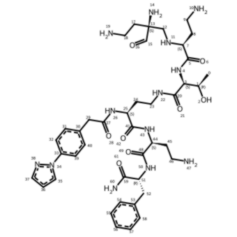 C[C@@H](O)[C@H](NC(=O)[C@H](CCN)NC[C@](N)(C=O)CCN)C(=O)NCC[C@H](NC(=O)Cc1ccc(-n2cccn2)cc1)C(=O)N[C@@H](CCN)C(=O)N[C@H](Cc1ccccc1)C(N)=O